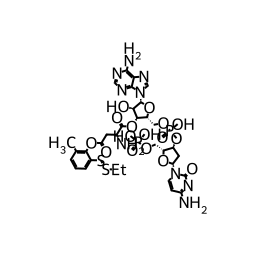 CCSSc1cccc(C)c1OC(=O)C[C@H](N)C(=O)O[C@H]1[C@@H](O)[C@H](n2cnc3c(N)ncnc32)O[C@@H]1COP(=O)(O)O[C@H]1C[C@H](n2ccc(N)nc2=O)O[C@@H]1COP(=O)(O)O